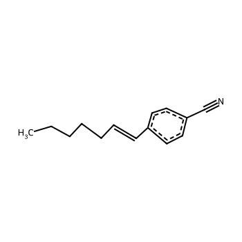 CCCCCC=Cc1ccc(C#N)cc1